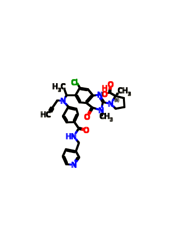 C#CCN(c1ccc(C(=O)NCc2cccnc2)cc1)C(C)c1cc2c(=O)n(C)c(N3CCC[C@@]3(C)C(=O)O)nc2cc1Cl